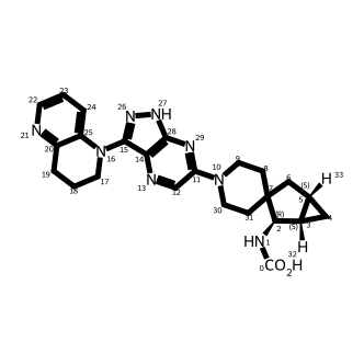 O=C(O)N[C@@H]1[C@H]2C[C@H]2CC12CCN(c1cnc3c(N4CCCc5ncccc54)n[nH]c3n1)CC2